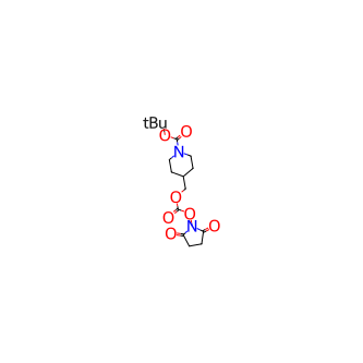 CC(C)(C)OC(=O)N1CCC(COC(=O)ON2C(=O)CCC2=O)CC1